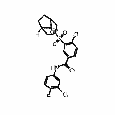 C[C@@]1(O)C2CC[C@H]1C[C@H](S(=O)(=O)c1cc(C(=O)Nc3ccc(F)c(Cl)c3)ccc1Cl)C2